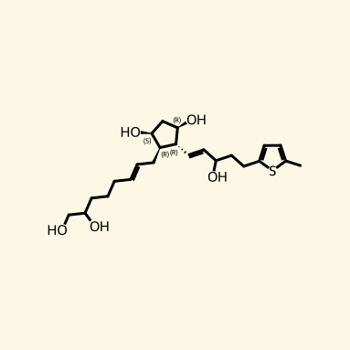 Cc1ccc(CCC(O)C=C[C@@H]2[C@@H](CC=CCCCC(O)CO)[C@@H](O)C[C@H]2O)s1